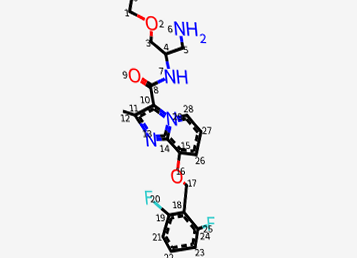 CCOCC(CN)NC(=O)c1c(C)nc2c(OCc3c(F)cccc3F)cccn12